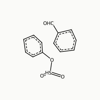 O=Cc1ccccc1.O=[SH](=O)Oc1ccccc1